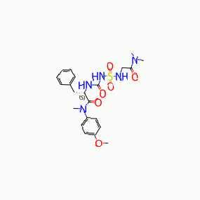 COc1ccc(N(C)C(=O)[C@H](Cc2ccccc2)NC(=O)NS(=O)(=O)NCC(=O)N(C)C)cc1